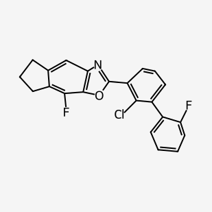 Fc1ccccc1-c1cccc(-c2nc3cc4c(c(F)c3o2)CCC4)c1Cl